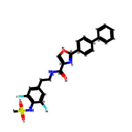 CS(=O)(=O)Nc1c(F)cc(CCNC(=O)c2coc(-c3ccc(-c4ccccc4)cc3)n2)cc1F